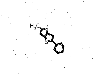 Cc1cc2sc(-c3ccccc3)cc2s1